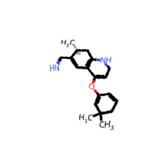 C[C@@H]1CC2=C(C=C1C=N)C(OC1=CC(C)(C)CC=C1)=CCN2